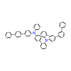 c1ccc(-c2ccc(-c3ccc(N(c4ccccc4)c4ccc(-c5ccccc5-n5c6ccccc6c6cc(-c7cccc(-c8ccccc8)c7)ccc65)cc4)cc3)cc2)cc1